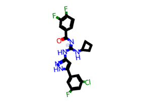 O=C(/N=C(\Nc1cc(-c2cc(F)cc(Cl)c2)[nH]n1)NC1CCC1)c1ccc(F)c(F)c1